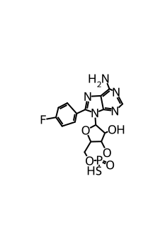 Nc1ncnc2c1nc(-c1ccc(F)cc1)n2C1OC2COP(=O)(S)OC2C1O